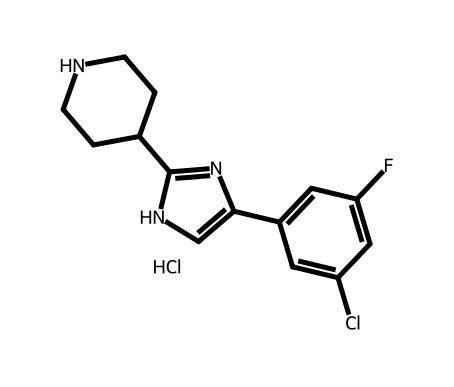 Cl.Fc1cc(Cl)cc(-c2c[nH]c(C3CCNCC3)n2)c1